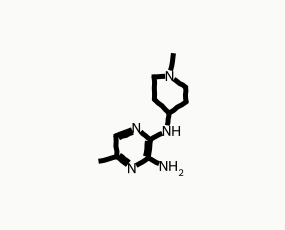 Cc1cnc(NC2CCN(C)CC2)c(N)n1